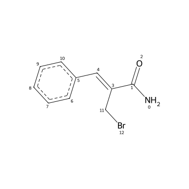 NC(=O)C(=Cc1ccccc1)CBr